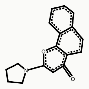 O=c1cc(N2CCCC2)oc2c1ccc1ccccc12